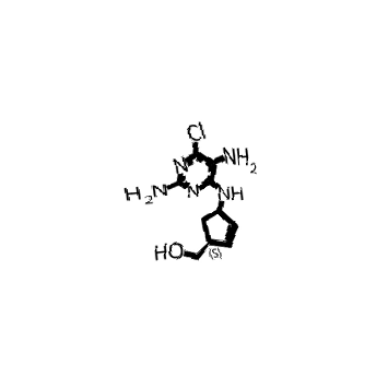 Nc1nc(Cl)c(N)c(NC2C=C[C@@H](CO)C2)n1